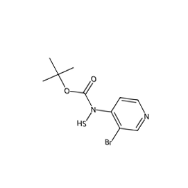 CC(C)(C)OC(=O)N(S)c1ccncc1Br